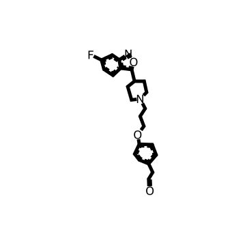 O=CCc1ccc(OCCCN2CCC(c3onc4cc(F)ccc34)CC2)cc1